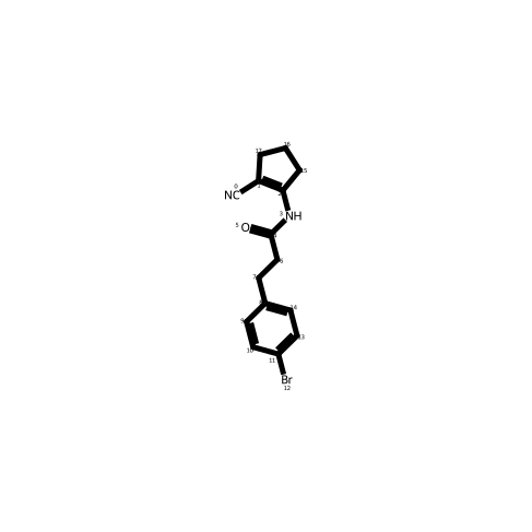 N#CC1=C(NC(=O)CCc2ccc(Br)cc2)CCC1